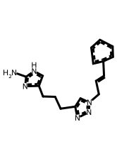 Nc1nc(CCCc2cn(C/C=C/c3ccccc3)nn2)c[nH]1